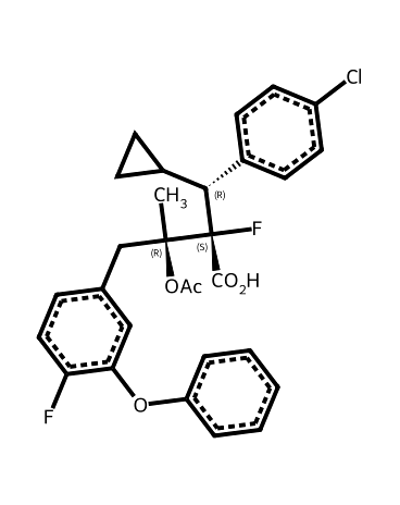 CC(=O)O[C@](C)(Cc1ccc(F)c(Oc2ccccc2)c1)[C@](F)(C(=O)O)[C@@H](c1ccc(Cl)cc1)C1CC1